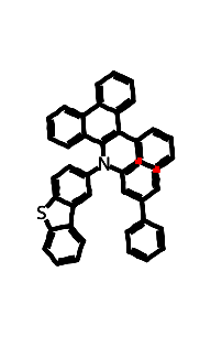 c1ccc(-c2cccc(N(c3ccc4sc5ccccc5c4c3)c3c(-c4ccccc4)c4ccccc4c4ccccc34)c2)cc1